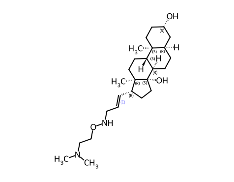 CN(C)CCONC/C=C/[C@H]1CC[C@]2(O)[C@@H]3CC[C@@H]4C[C@@H](O)CC[C@]4(C)[C@H]3CC[C@]12C